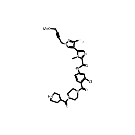 COCC#CCn1cc(-c2cnc(C(=O)Nc3ccc(C(=O)N4CCN(C(=O)C5CCNCC5)CC4)c(Cl)c3)n2C)c(C(F)(F)F)n1